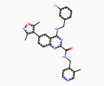 Cc1cnccc1CNC(=O)c1nc(NCc2cccc(Cl)c2)c2cc(-c3c(C)noc3C)ccc2n1